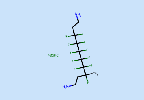 Cl.Cl.NCCC(F)(F)C(F)(F)C(F)(F)C(F)(F)C(F)(F)C(F)(CCN)C(F)(F)F